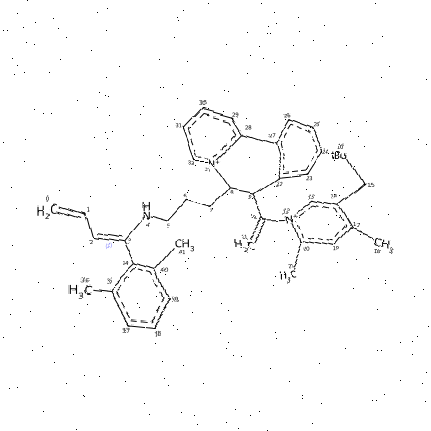 C=C/C=C(\NCCCC1C(C(=C)[n+]2cc(CC(C)(C)C)c(C)cc2C)c2ccccc2-c2cccc[n+]21)c1c(C)cccc1C